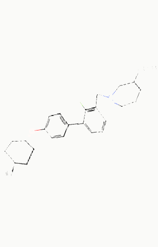 CC(C)[C@H]1CC[C@H](Oc2ccc(-c3cccc(CN4CCCC(C(=O)O)C4)c3F)cc2)CC1